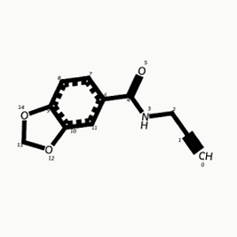 C#CCNC(=O)c1ccc2c(c1)OCO2